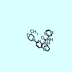 C[C@@H]1CN(c2ccc3c(n2)N(C(=O)Nc2cnccn2)[C@H]2CCN3C2)CCO1